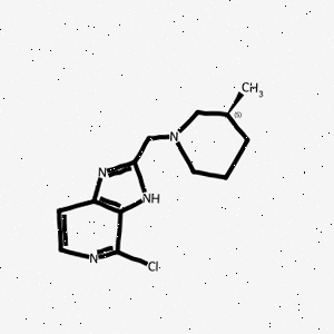 C[C@H]1CCCN(Cc2nc3ccnc(Cl)c3[nH]2)C1